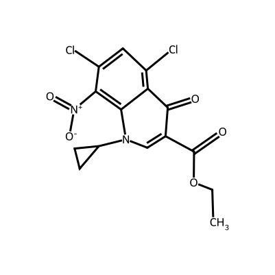 CCOC(=O)c1cn(C2CC2)c2c([N+](=O)[O-])c(Cl)cc(Cl)c2c1=O